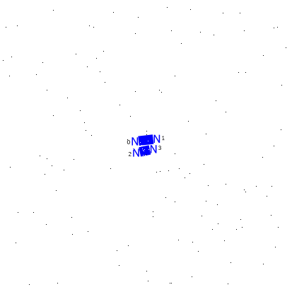 N#N.N#N